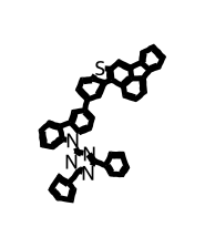 c1ccc(-c2nc(-c3ccccc3)nc(-n3c4ccccc4c4cc(-c5ccc6sc7cc8c9c(cccc9c7c6c5)-c5ccccc5-8)ccc43)n2)cc1